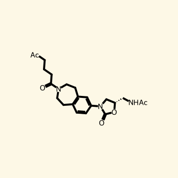 CC(=O)CCCC(=O)N1CCc2ccc(N3C[C@H](CNC(C)=O)OC3=O)cc2CC1